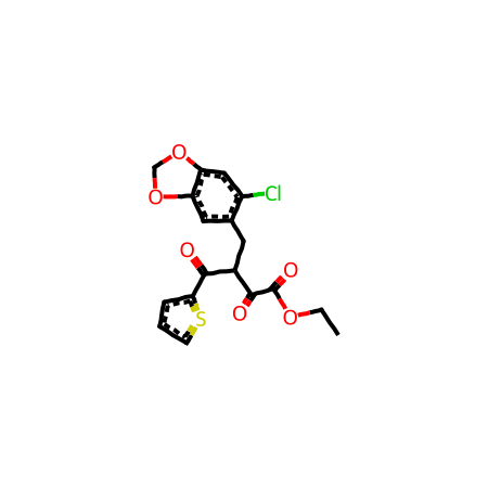 CCOC(=O)C(=O)C(Cc1cc2c(cc1Cl)OCO2)C(=O)c1cccs1